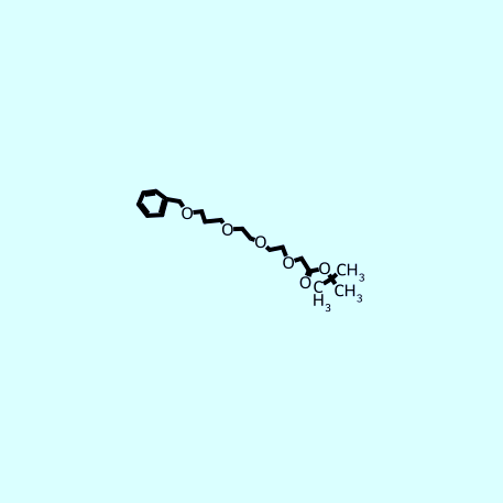 CC(C)(C)OC(=O)COCCOCCOCCCOCc1ccccc1